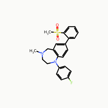 CN1CCN(c2ccc(F)cc2)c2ccc(-c3ccccc3S(C)(=O)=O)cc2C1